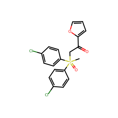 CS(=O)(CC(=O)c1ccco1)(c1ccc(Cl)cc1)c1ccc(Cl)cc1